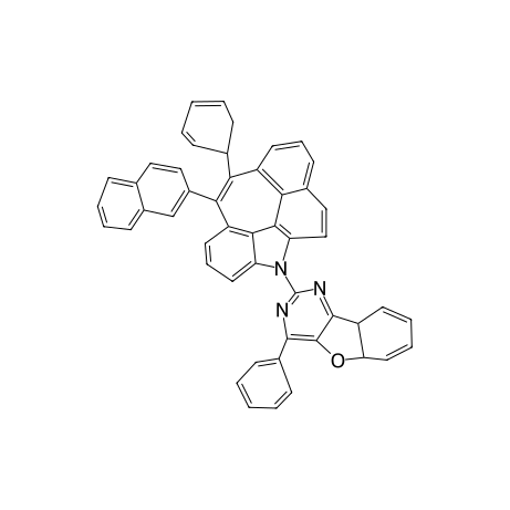 C1=CCC(C2=C(c3ccc4ccccc4c3)c3cccc4c3c3c5c2cccc5ccc3n4-c2nc(-c3ccccc3)c3c(n2)C2C=CC=CC2O3)C=C1